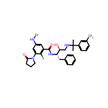 CCNc1cc(C(=O)N[C@@H](Cc2ccccc2)[C@@H](O)CNC(C)(C)c2cccc(C(F)(F)F)c2)c(F)c(N2CCCC2=O)c1